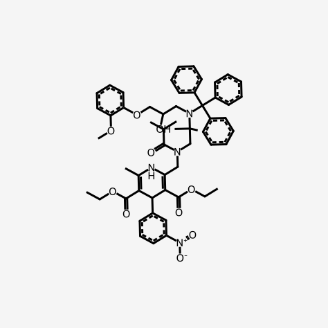 CCOC(=O)C1=C(C)NC(CN(CC(C)(C)N(CC(O)COc2ccccc2OC)C(c2ccccc2)(c2ccccc2)c2ccccc2)C(=O)C(C)C)=C(C(=O)OCC)C1c1cccc([N+](=O)[O-])c1